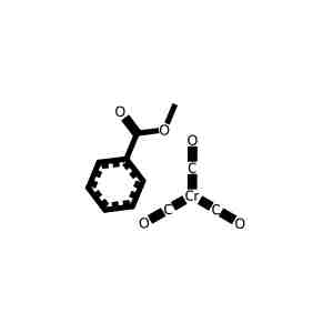 COC(=O)c1ccccc1.O=[C]=[Cr](=[C]=O)=[C]=O